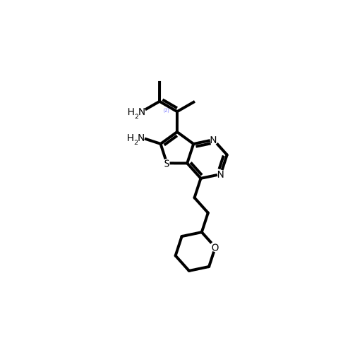 C/C(N)=C(\C)c1c(N)sc2c(CCC3CCCCO3)ncnc12